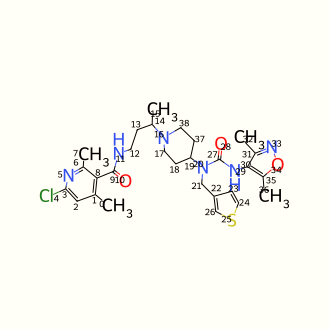 Cc1cc(Cl)nc(C)c1C(=O)NCCC(C)N1CCC(N(Cc2ccsc2)C(=O)Nc2c(C)noc2C)CC1